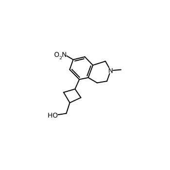 CN1CCc2c(cc([N+](=O)[O-])cc2C2CC(CO)C2)C1